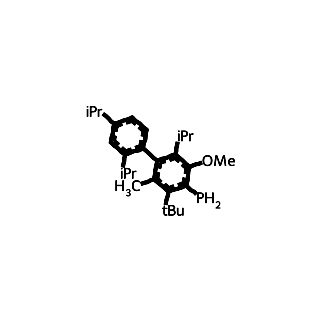 COc1c(P)c(C(C)(C)C)c(C)c(-c2ccc(C(C)C)cc2C(C)C)c1C(C)C